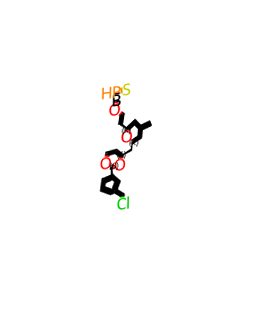 C=C1C[C@H](C[C@@H]2CCO[C@H](c3cccc(CCl)c3)O2)O[C@@H](CCOB=[PH]=S)C1